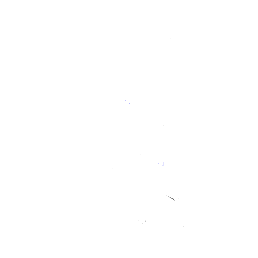 CNC(=O)[C@H](CC(C)(C)C)NC(=O)c1nc(-c2cccc(Cl)c2F)n2c1CN(C)CCC2